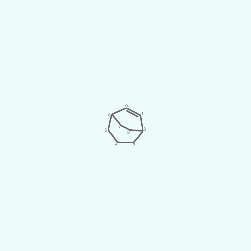 C1=CC2CCCC1CC2